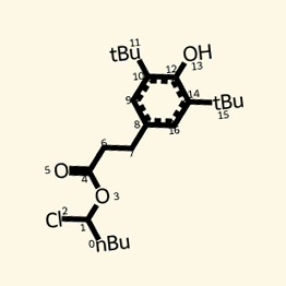 CCCCC(Cl)OC(=O)CCc1cc(C(C)(C)C)c(O)c(C(C)(C)C)c1